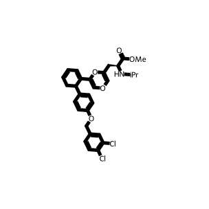 COC(=O)[C@H](CC1=COC=C(C2=CC=CCC2c2ccc(OCc3ccc(Cl)c(Cl)c3)cc2)O1)NC(C)C